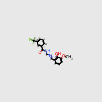 COc1cccc(/C=N/CNC(=O)c2cccc(C(F)(F)F)c2)c1O